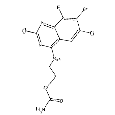 NC(=O)OCCNc1nc(Cl)nc2c(F)c(Br)c(Cl)cc12